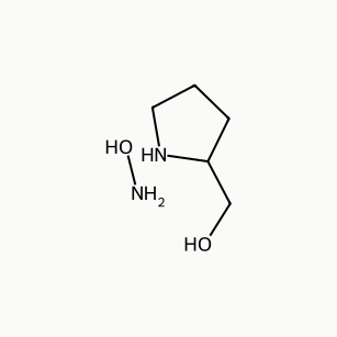 NO.OCC1CCCN1